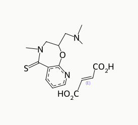 CN(C)CC1CN(C)C(=S)c2cccnc2O1.O=C(O)/C=C/C(=O)O